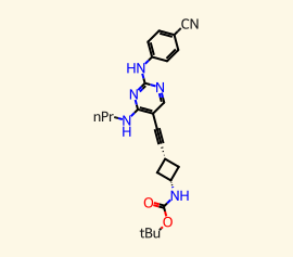 CCCNc1nc(Nc2ccc(C#N)cc2)ncc1C#C[C@H]1C[C@@H](NC(=O)OC(C)(C)C)C1